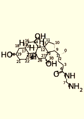 C[C@H](CCC(=O)NCN)[C@H]1CC[C@H]2[C@@H]3[C@H](O)C[C@@H]4C[C@H](O)CC[C@]4(C)[C@H]3C[C@H](O)[C@]12C